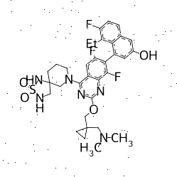 CCc1c(F)ccc2cc(O)cc(-c3c(F)cc4c(N5CCCC6(CNS(=O)(=O)N6)C5)nc(OCC5(CN(C)C)CC5)nc4c3F)c12